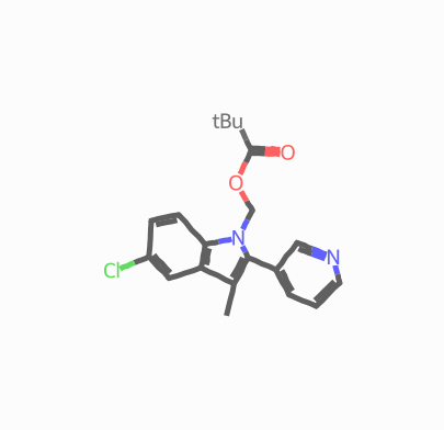 Cc1c(-c2cccnc2)n(COC(=O)C(C)(C)C)c2ccc(Cl)cc12